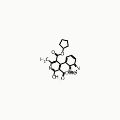 COC(=O)c1c(C)nc(C)c(C(=O)OC2CCCC2)c1-c1cccc2nonc12